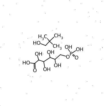 CC(C)(C)CO.O=C(O)C(O)C(O)C(O)C(O)COP(=O)(O)O